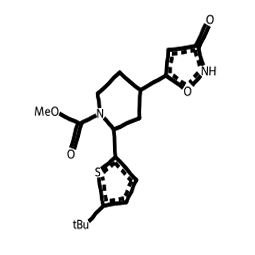 COC(=O)N1CCC(c2cc(=O)[nH]o2)CC1c1ccc(C(C)(C)C)s1